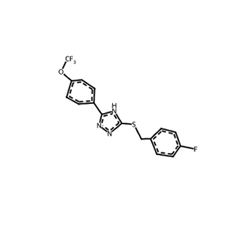 Fc1ccc(CSc2nnc(-c3ccc(OC(F)(F)F)cc3)[nH]2)cc1